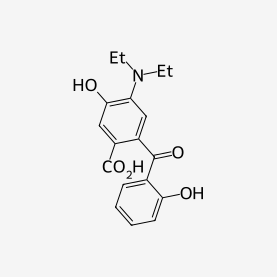 CCN(CC)c1cc(C(=O)c2ccccc2O)c(C(=O)O)cc1O